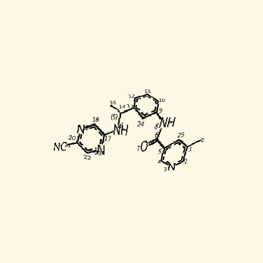 Cc1cncc(C(=O)Nc2cccc([C@H](C)Nc3cnc(C#N)cn3)c2)c1